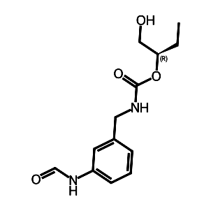 CC[C@H](CO)OC(=O)NCc1cccc(NC=O)c1